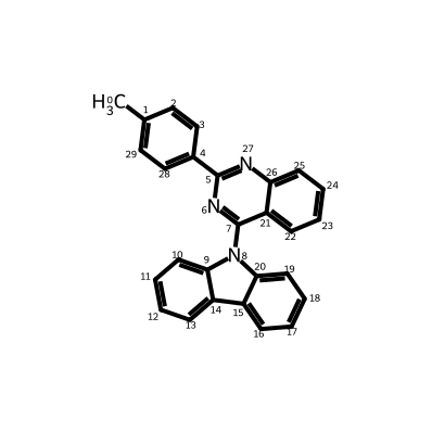 Cc1ccc(-c2nc(-n3c4ccccc4c4ccccc43)c3ccccc3n2)cc1